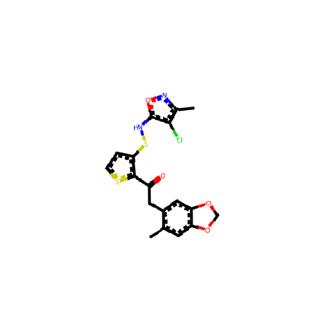 Cc1cc2c(cc1CC(=O)c1sccc1SNc1onc(C)c1Cl)OCO2